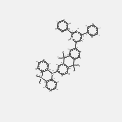 CC1(C)c2ccc(-c3nc(-c4ccccc4)nc(-c4ccccc4)n3)cc2C(C)(C)c2cc(N3c4ccccc4[Si](C)(C)c4ccccc43)ccc21